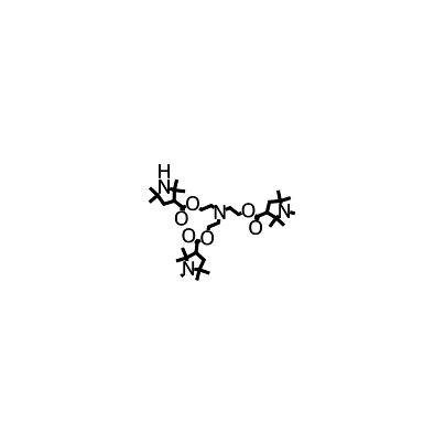 CN1C(C)(C)CC(C(=O)OCCN(CCOC(=O)C2CC(C)(C)NC2(C)C)CCOC(=O)C2CC(C)(C)N(C)C2(C)C)C1(C)C